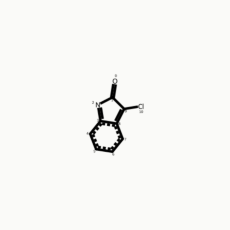 O=C1N=c2ccccc2=C1Cl